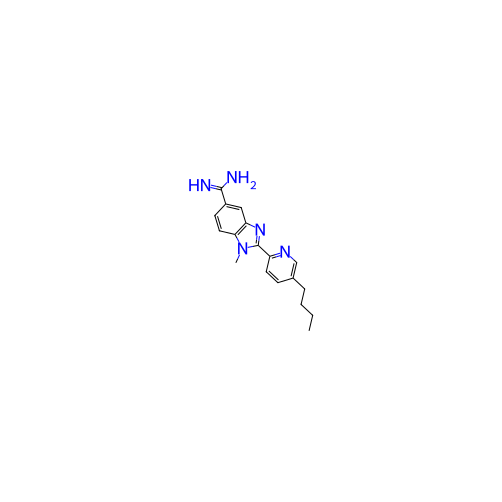 CCCCc1ccc(-c2nc3cc(C(=N)N)ccc3n2C)nc1